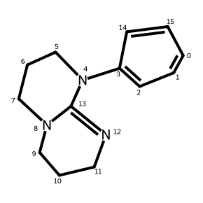 c1ccc(N2CCCN3CCCN=C32)cc1